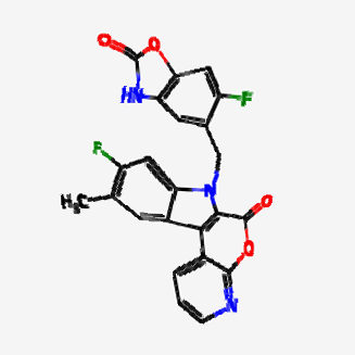 Cc1cc2c3c4cccnc4oc(=O)c3n(Cc3cc4[nH]c(=O)oc4cc3F)c2cc1F